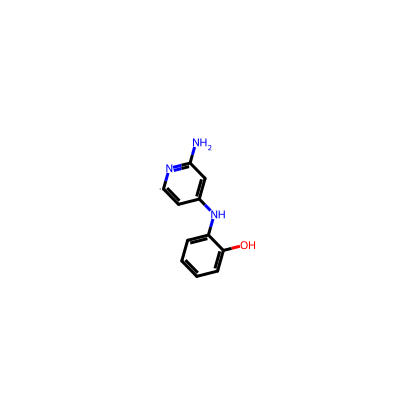 Nc1cc(Nc2ccccc2O)c[c]n1